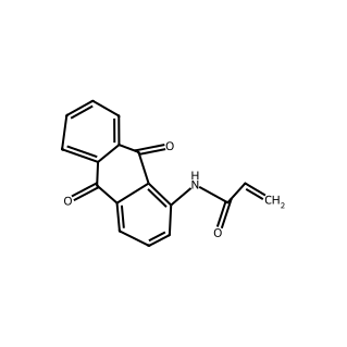 C=CC(=O)Nc1cccc2c1C(=O)c1ccccc1C2=O